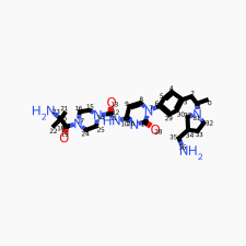 CC(Cc1ccc(-n2ccc(NC(=O)N3CCN(C(=O)C(C)(C)N)CC3)nc2=O)cc1)N1CCC(CN)C1